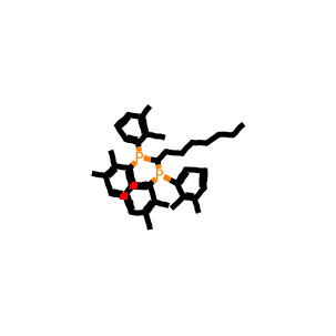 CCCCCCCC(P(c1cccc(C)c1C)c1cccc(C)c1C)P(c1cccc(C)c1C)c1cccc(C)c1C